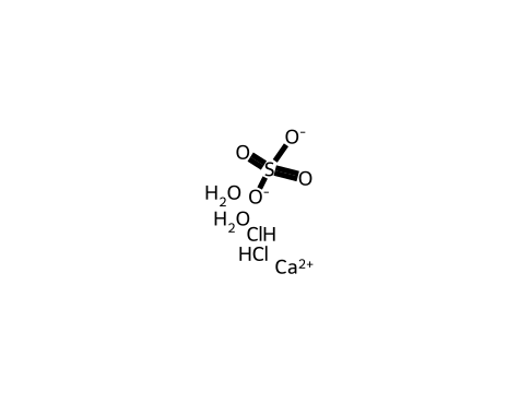 Cl.Cl.O.O.O=S(=O)([O-])[O-].[Ca+2]